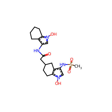 CS(=O)(=O)Nc1cn(O)c2c1CC(CC(=O)Nc1cn(O)c3c1CCCC3)CC2